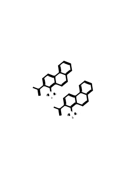 C=C(C)c1ccc2c(ccc3ccccc32)c1S(=O)(=O)[O-].C=C(C)c1ccc2c(ccc3ccccc32)c1S(=O)(=O)[O-].[Ca+2]